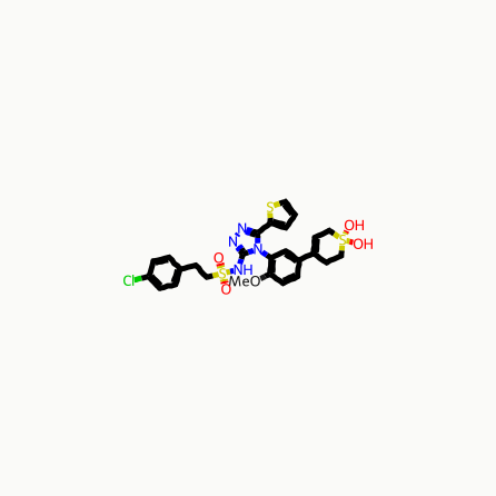 COc1ccc(C2=CCS(O)(O)CC2)cc1-n1c(NS(=O)(=O)CCc2ccc(Cl)cc2)nnc1-c1cccs1